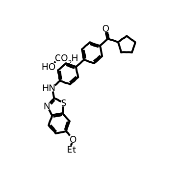 CCOc1ccc2nc(Nc3ccc(-c4ccc(C(=O)C5CCCC5)cc4)cc3)sc2c1.O=C(O)O